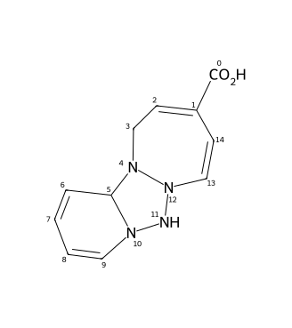 O=C(O)C1=CCN2C3C=CC=CN3NN2C=C1